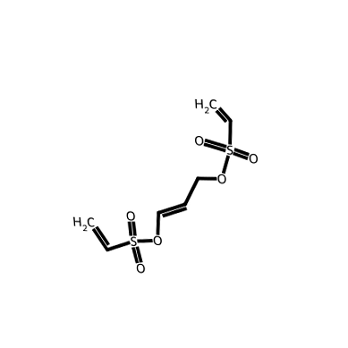 C=CS(=O)(=O)O/C=C/COS(=O)(=O)C=C